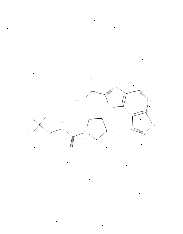 C[C@@H](O)c1nc2cnc3[nH]ccc3c2n1[C@@H]1CCN(C(=O)NCC(F)(F)F)C1